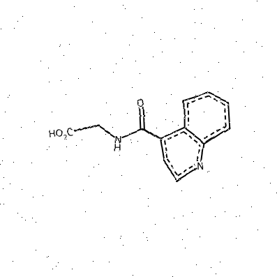 O=C(O)CNC(=O)c1ccnc2ccccc12